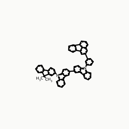 CC1(C)c2ccccc2-c2ccc(-n3c4ccccc4c4cc(-c5ccc6c(c5)c5ccccc5n6-c5cccc(-c6cc7c8c(cccc8c6)-c6ccccc6-7)c5)ccc43)cc21